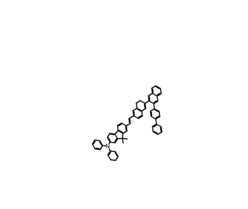 CC1(C)c2cc(/C=C/c3ccc4c(c3)CCC(c3cc5ccccc5cc3-c3ccc(-c5ccccc5)cc3)=C4)ccc2-c2ccc(N(C3=CCCC=C3)c3ccccc3)cc21